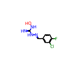 N=C(NO)NN=Cc1ccc(F)c(Cl)c1